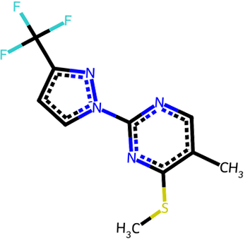 CSc1nc(-n2ccc(C(F)(F)F)n2)ncc1C